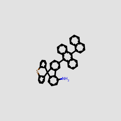 Nc1cccc2c1-c1cc(-c3c4ccccc4c(-c4cccc5ccccc45)c4ccccc34)ccc1C21c2ccccc2Sc2ccccc21